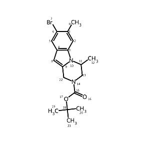 Cc1cc2c(cc1Br)cc1n2C(C)CN(C(=O)OC(C)(C)C)C1